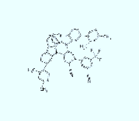 Cc1ccc(-c2ccc3c4ccccc4n(-c4cc(C#N)c(-c5cc(C#N)cc(C(F)(F)F)c5)cc4-n4c5ccccc5c5ccc(-c6ccc(C)cc6C)cc54)c3c2)c(C)c1